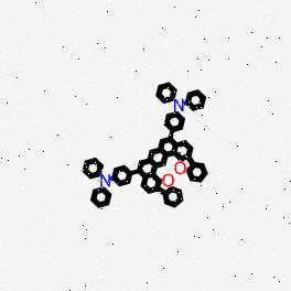 c1ccc(N(c2ccccc2)c2ccc(-c3cc4cc5cc(-c6ccc(N(c7ccccc7)c7ccccc7)cc6)c6ccc7c8ccccc8oc7c6c5cc4c4c3ccc3c5ccccc5oc34)cc2)cc1